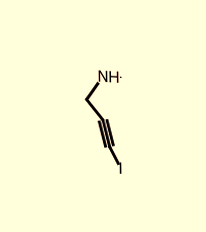 [NH]CC#CI